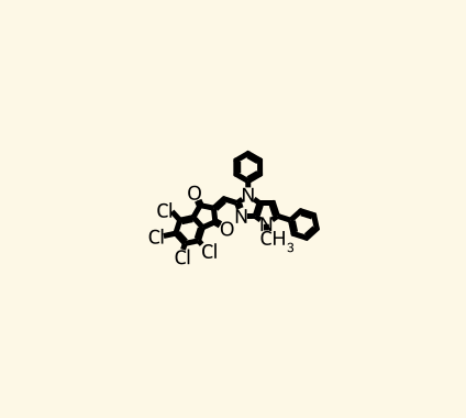 Cn1c(-c2ccccc2)cc2c1nc(C=C1C(=O)c3c(Cl)c(Cl)c(Cl)c(Cl)c3C1=O)n2-c1ccccc1